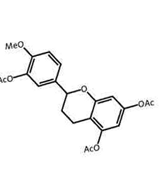 COc1ccc(C2CCc3c(OC(C)=O)cc(OC(C)=O)cc3O2)cc1OC(C)=O